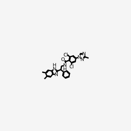 Cc1ncn(-c2cc(Cl)c(C(=O)NCC(c3ccccc3)c3nc4cc(C)c(C)cc4[nH]3)c(Cl)c2)n1